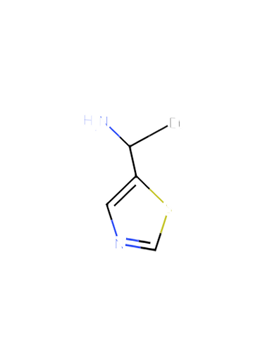 CCC(N)c1cncs1